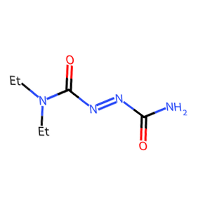 CCN(CC)C(=O)N=NC(N)=O